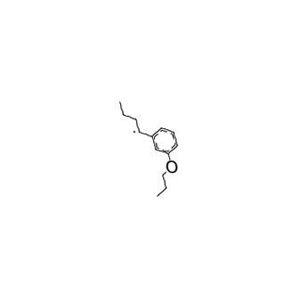 CCC[CH]c1cccc(OCCC)c1